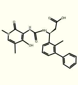 Cc1cn(C)c(=O)c(NC(=O)N[C@@H](CC(=O)O)c2cccc(-c3ccccc3)c2C)c1O